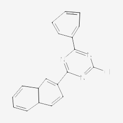 Clc1nc(C2=CC3C=CC=CC3C=C2)nc(-c2ccccc2)n1